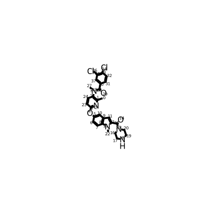 Cc1nc(Oc2ccc3c(c2)cc(C(=O)N2CCNCC2)n3C)ccc1N(C)C(=O)c1ccc(Cl)c(Cl)c1